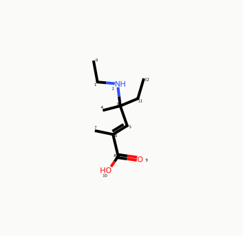 CCNC(C)(/C=C(\C)C(=O)O)CC